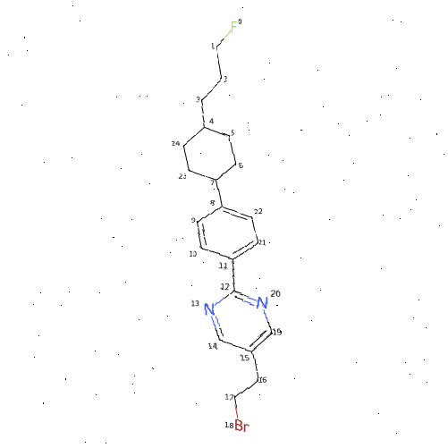 FCCCC1CCC(c2ccc(-c3ncc(CCBr)cn3)cc2)CC1